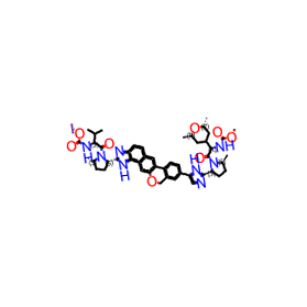 COC(=O)N[C@@H](C(=O)N1[C@@H](C)CC[C@H]1c1ncc(-c2ccc3c(c2)COc2cc4c(ccc5nc([C@@H]6CC[C@H](C)N6C(=O)[C@@H](NC(=O)OI)C(C)C)[nH]c54)cc2-3)[nH]1)C1C[C@@H](C)O[C@H](C)C1